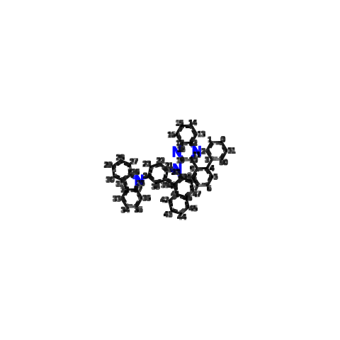 c1ccc(-c2ccccc2-c2nc3ccccc3nc2-n2c3ccc(-n4c5ccccc5c5ccccc54)cc3c3c4ccccc4ccc32)cc1